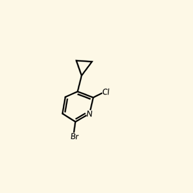 Clc1nc(Br)ccc1C1CC1